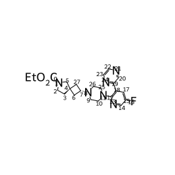 CCOC(=O)N1CC[C@]2(C1)C[C@@H](N1CCN(c3ncc(F)cc3-c3cnccn3)CC1)C2